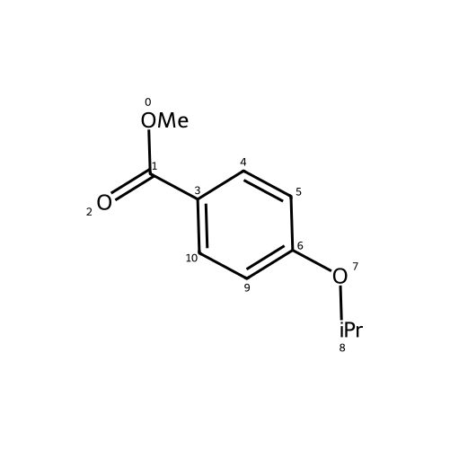 COC(=O)c1ccc(OC(C)C)cc1